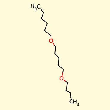 CCCCCCOCCCCCOCCCC